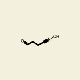 O=CCCC#[N+]O